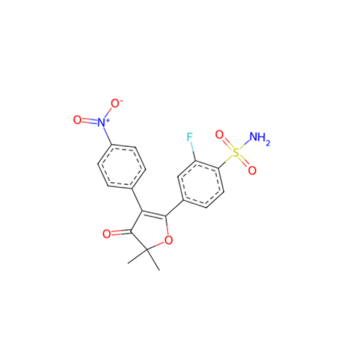 CC1(C)OC(c2ccc(S(N)(=O)=O)c(F)c2)=C(c2ccc([N+](=O)[O-])cc2)C1=O